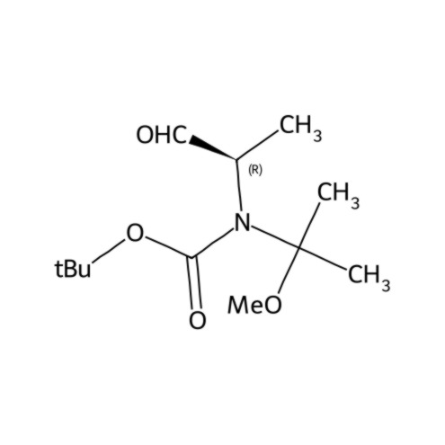 COC(C)(C)N(C(=O)OC(C)(C)C)[C@H](C)C=O